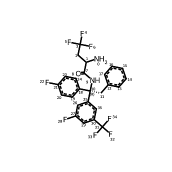 NC(CC(F)(F)F)C(=O)N[C@](Cc1ccccc1)(c1ccc(F)cc1)c1cc(F)cc(C(F)(F)F)c1